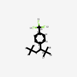 CC(C)(C)CC(c1ccc(C(F)(F)F)cc1)C(C)(C)C